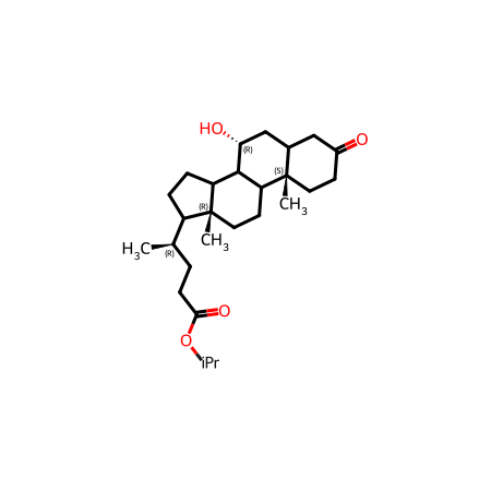 CC(C)OC(=O)CC[C@@H](C)C1CCC2C3C(CC[C@@]21C)[C@@]1(C)CCC(=O)CC1C[C@H]3O